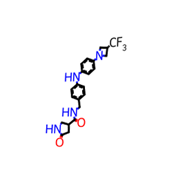 O=C1CC(C(=O)NCc2ccc(Nc3ccc(N4CC(C(F)(F)F)C4)cc3)cc2)CN1